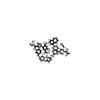 C=C(F)C(=O)N1CCN(c2nc(OC[C@@H]3CC[C@H](CN4CCN(Cc5ccc(-n6c(C(=O)NCC)nnc6-c6cc(C(C)C)c(O)cc6O)cc5)CC4)N3C)nc3c2CCN(c2cccc4ccccc24)C3)C[C@@H]1CC#N